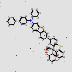 c1ccc(-c2ccc(N(c3ccccc3)c3ccc4c(c3)oc3cc(-c5ccc6c(c5)C5(c7ccccc7Oc7ccccc75)c5ccccc5S6)ccc34)cc2)cc1